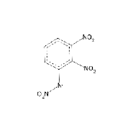 O=[N+]([O-])[N]c1cccc([N+](=O)[O-])c1[N+](=O)[O-]